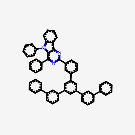 c1ccc(-c2cccc(-c3cc(-c4cccc(-c5ccccc5)c4)cc(-c4cccc(-c5nc(-c6ccccc6)c6c(n5)c5ccccc5n6-c5ccccc5)c4)c3)c2)cc1